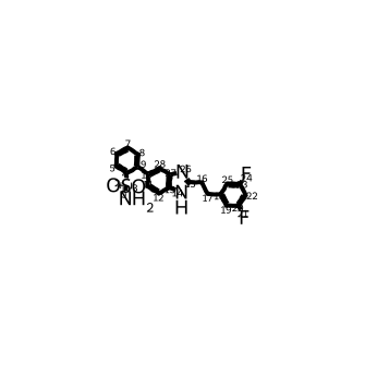 NS(=O)(=O)c1ccccc1-c1ccc2[nH]c(CCc3cc(F)cc(F)c3)nc2c1